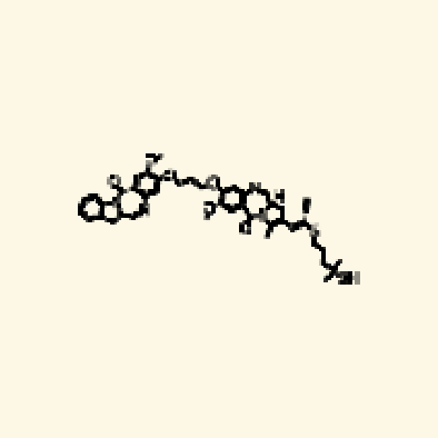 C#C/C(=C\C1=C(C)N2C(=O)c3cc(OC)c(OCCCOc4cc5c(cc4OC)C(=O)N4c6ccccc6CC4C=N5)cc3N=C[C@@H]2C1)SCCCC(C)(C)S